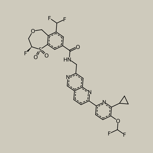 O=C(NCc1cc2nc(-c3ccc(OC(F)F)c(C4CC4)n3)ccc2cn1)c1cc(C(F)F)c2c(c1)S(=O)(=O)[C@@H](F)COC2